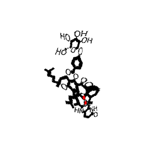 CC(C)=CCCC1(C)C=Cc2c(c(CC=C(C)C)c3c(c2OC(=O)c2ccc(O[C@@H]4O[C@H](CO)[C@@H](O)[C@H](O)[C@H]4O)cc2)C(=O)C2=CC4CC5C(C)(C)OC(C/C=C(/C)C(=O)NC6CCC(=O)NC6=O)(C4=O)C25O3)O1